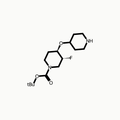 CC(C)(C)OC(=O)N1CC[C@@H](OC2CCNCC2)[C@H](F)C1